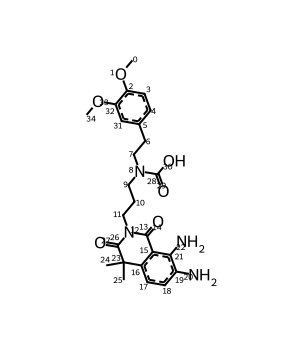 COc1ccc(CCN(CCCN2C(=O)c3c(ccc(N)c3N)C(C)(C)C2=O)C(=O)O)cc1OC